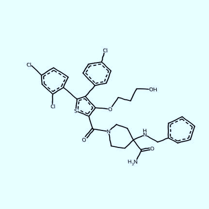 NC(=O)C1(NCc2ccccc2)CCN(C(=O)c2sc(-c3ccc(Cl)cc3Cl)c(-c3ccc(Cl)cc3)c2OCCCO)CC1